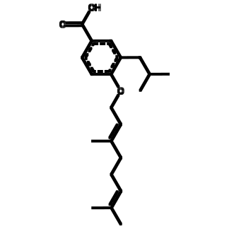 CC(C)=CCC/C(C)=C/COc1ccc(C(=O)O)cc1CC(C)C